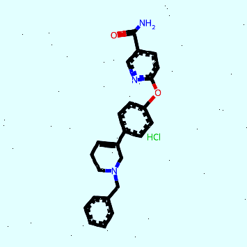 Cl.NC(=O)c1ccc(Oc2ccc(C3=CCCN(Cc4ccccc4)C3)cc2)nc1